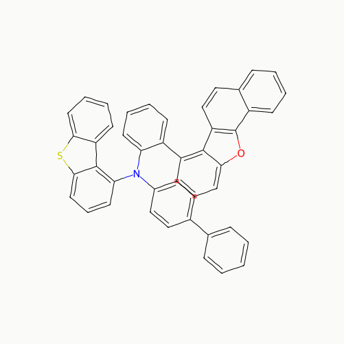 c1ccc(-c2ccc(N(c3ccccc3-c3cccc4oc5c6ccccc6ccc5c34)c3cccc4sc5ccccc5c34)cc2)cc1